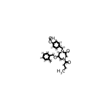 CCCC(=O)N1CC(=O)N(Cc2ccc(OC)cc2)CC(OCc2ccccc2F)C1